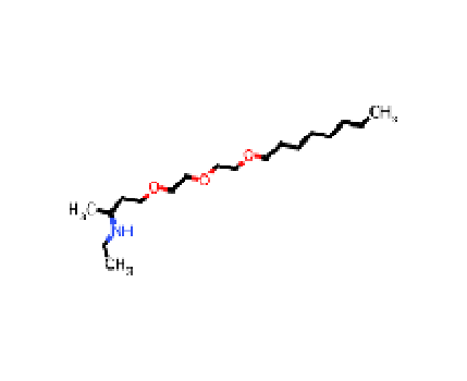 CCCCCCCCOCCOCCOCCC(C)NCC